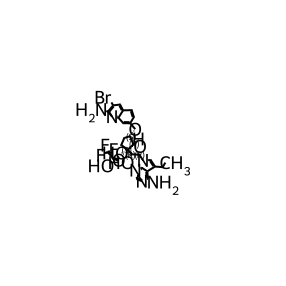 CCc1cn([C@@H]2O[C@@H]3[C@@H](Oc4ccc5cc(Br)c(N)nc5c4)CC[C@]3(O)[C@H]2O)c2ncnc(N)c12.O=C(O)C(F)(F)F